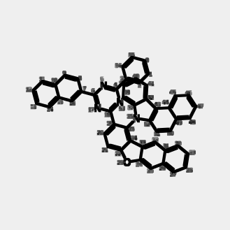 c1ccc(-c2nc(-c3ccc4ccccc4c3)nc(-c3ccc4oc5cc6ccccc6cc5c4c3-n3c4ccccc4c4c5ccccc5ccc43)n2)cc1